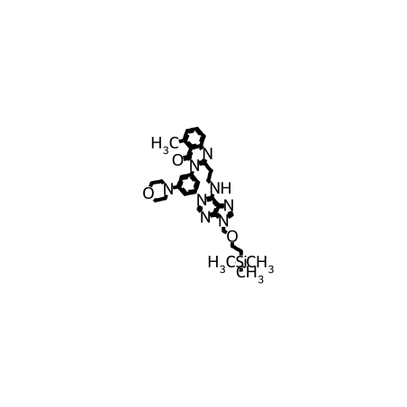 Cc1cccc2nc(CCNc3ncnc4c3ncn4COCC[Si](C)(C)C)n(-c3cccc(N4CCOCC4)c3)c(=O)c12